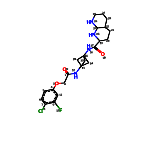 O=C(COc1ccc(Cl)c(F)c1)NC12CC(NC(=O)C3CCC4CCCNC4N3)(C1)C2